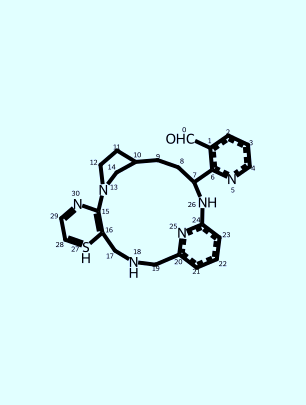 O=Cc1cccnc1C1CCC2CCN(C2)C2=C(CNCc3cccc(n3)N1)[SH]=CC=N2